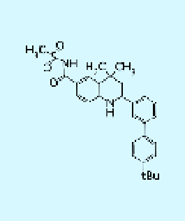 CC(C)(C)c1ccc(-c2cccc(C3CC(C)(C)c4cc(C(=O)NS(C)(=O)=O)ccc4N3)c2)cc1